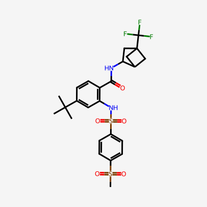 CC(C)(C)c1ccc(C(=O)NC2CC3(C(F)(F)F)CC2C3)c(NS(=O)(=O)c2ccc(S(C)(=O)=O)cc2)c1